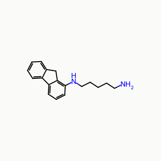 NCCCCCNc1cccc2c1Cc1ccccc1-2